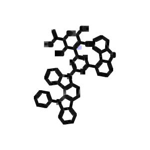 C=C(O)C(O)C(O)/C(=C(/O)CO)c1nc(-c2cccc3oc4ccccc4c23)nc(-n2c3ccccc3c3c2ccc2c4ccccc4n(-c4ccccc4)c23)n1